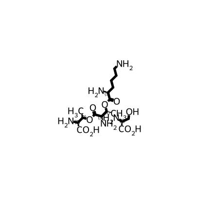 C[C@@H](OC(=O)[C@@H](N)[C@@H](C)OC(=O)[C@@H](N)CCCCN)[C@H](N)C(=O)O.N[C@@H](CO)C(=O)O